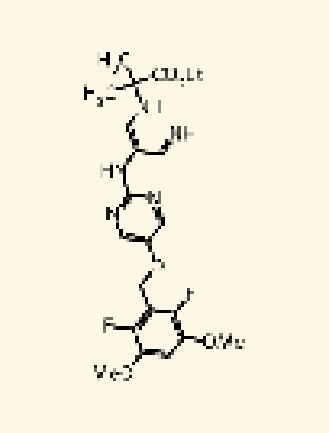 CCOC(=O)C(C)(C)N/C=C(\C=N)Nc1ncc(OCc2c(F)c(OC)cc(OC)c2F)cn1